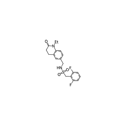 CCN1C(=O)CCc2cc(CNS(=O)(=O)Cc3c(F)cccc3F)ccc21